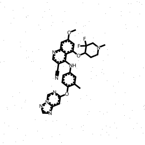 COc1cc(OC2CCN(C)CC2(F)F)c2c(Nc3ccc(Oc4cc5ncnn5cn4)c(C)c3)c(C#N)cnc2c1